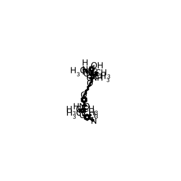 CNC(=O)[C@@H]1C[C@@H](O)CN1C(=O)C(NC(=O)COCCCCCOc1ccc(C(=O)N[C@H]2C(C)(C)[C@H](Oc3ccc(C#N)c(Cl)c3)C2(C)C)cc1)C(C)(C)C